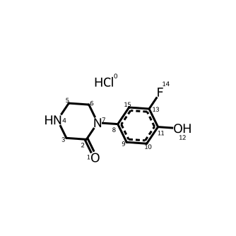 Cl.O=C1CNCCN1c1ccc(O)c(F)c1